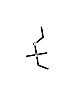 [CH2]C[Si](C)(C)OCC